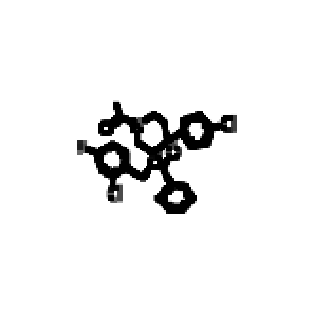 CC(=O)N1CC[C@@](OCc2ccccc2)(c2ccc(Cl)cc2)[C@@H](OCc2ccc(F)cc2Cl)C1